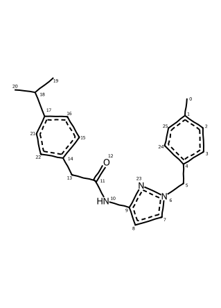 Cc1ccc(Cn2ccc(NC(=O)Cc3ccc(C(C)C)cc3)n2)cc1